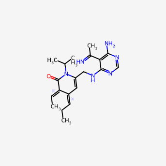 C/C=c1/c(=O)n(C(C)C)c(CNc2ncnc(N)c2C(C)=N)c/c1=C/CC